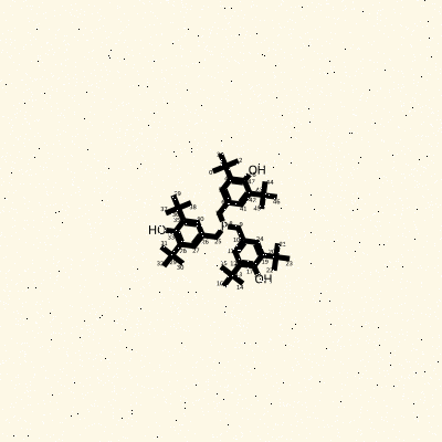 CC(C)(C)c1cc(CP(Cc2cc(C(C)(C)C)c(O)c(C(C)(C)C)c2)Cc2cc(C(C)(C)C)c(O)c(C(C)(C)C)c2)cc(C(C)(C)C)c1O